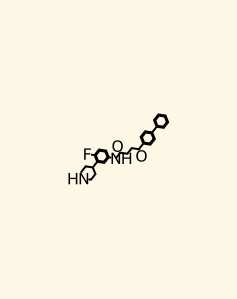 O=C(CCC(=O)c1ccc(-c2ccccc2)cc1)Nc1ccc(F)c(C2CCNCC2)c1